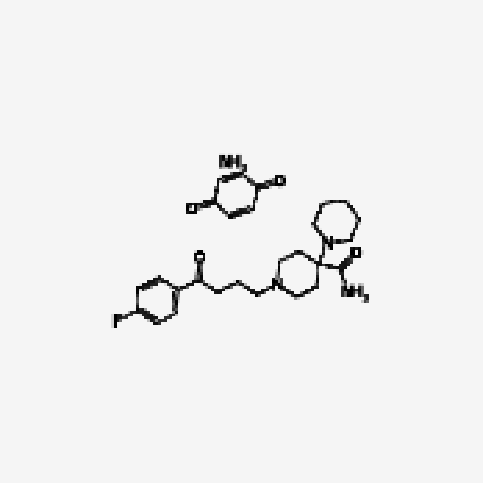 N.NC(=O)C1(N2CCCCC2)CCN(CCCC(=O)c2ccc(F)cc2)CC1.O=C1C=CC(=O)C=C1